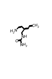 C=C/C=C(\C=C/N)CNC(N)=O